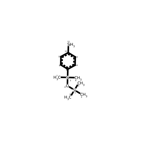 C[Si](C)(C)O[Si](C)(C)c1ccc([SiH3])cc1